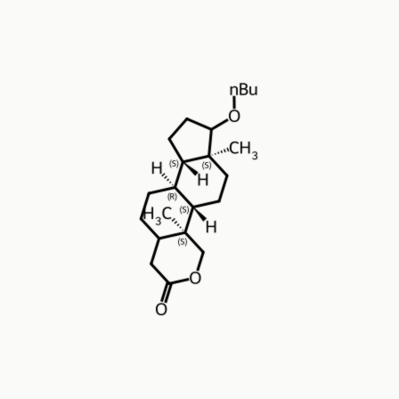 CCCCOC1CC[C@H]2[C@@H]3CCC4CC(=O)OC[C@]4(C)[C@H]3CC[C@]12C